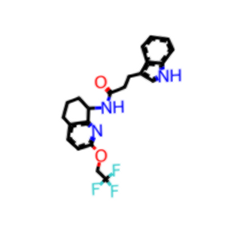 O=C(CCc1c[nH]c2ccccc12)NC1CCCc2ccc(OCC(F)(F)F)nc21